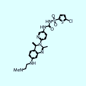 C=C1c2ccc(NCCNC)cc2N=C(C)N1c1ccc(NC(=O)NS(=O)(=O)c2ccc(Cl)s2)cn1